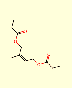 CCC(=O)OCC=C(C)COC(=O)CC